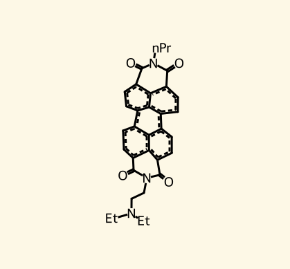 CCCN1C(=O)c2ccc3c4ccc5c6c(ccc(c7ccc(c2c37)C1=O)c64)C(=O)N(CCN(CC)CC)C5=O